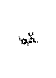 CCN(CC)c1cc(Cl)nc(Nc2ccc(OC)cc2)n1